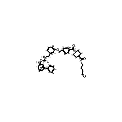 O=CCCCOC(=O)C1CCN(C(=O)c2ccc(COc3cccc(CNC(=O)O[C@H]4CN5CCC4C(c4ccccc4)C5)c3)cc2)CC1